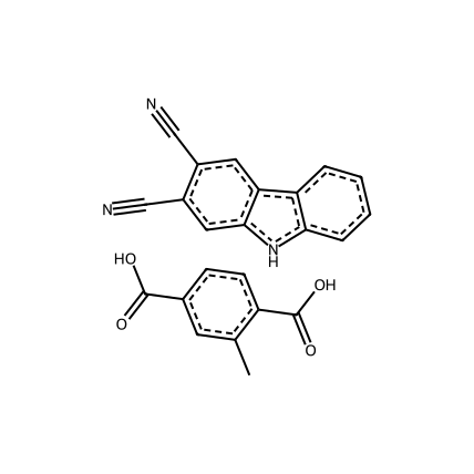 Cc1cc(C(=O)O)ccc1C(=O)O.N#Cc1cc2[nH]c3ccccc3c2cc1C#N